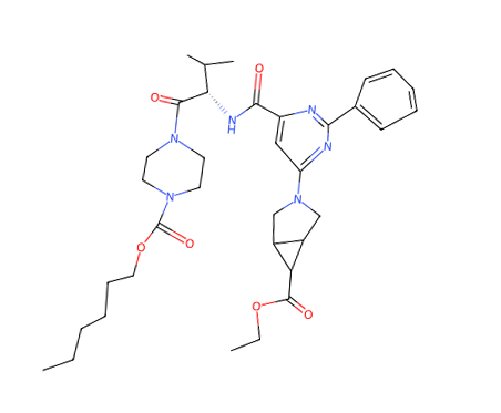 CCCCCCOC(=O)N1CCN(C(=O)[C@@H](NC(=O)c2cc(N3CC4C(C3)C4C(=O)OCC)nc(-c3ccccc3)n2)C(C)C)CC1